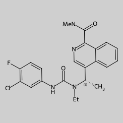 CCN(C(=O)Nc1ccc(F)c(Cl)c1)[C@@H](C)c1cnc(C(=O)NC)c2ccccc12